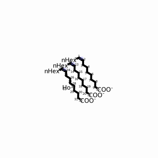 CCCCCC/C=C\CCCCCCCC(=O)[O-].CCCCCC/C=C\CCCCCCCC(=O)[O-].CCCCCC/C=C\CCCCCCCC(=O)[O-].[Ho+3]